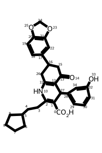 O=C(O)C1=C(CCC2CCCC2)NC2=C(C(=O)CC(c3ccc4c(c3)OCO4)C2)C1c1cccc(O)c1